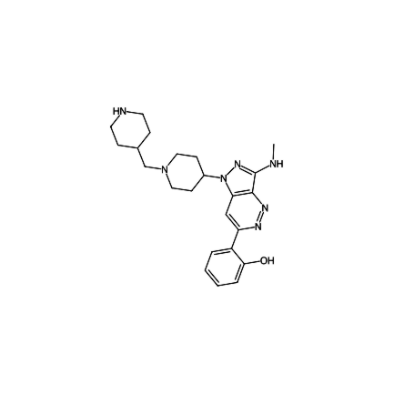 CNc1nn(C2CCN(CC3CCNCC3)CC2)c2cc(-c3ccccc3O)nnc12